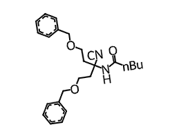 CCCCC(=O)NC(C#N)(CCOCc1ccccc1)CCOCc1ccccc1